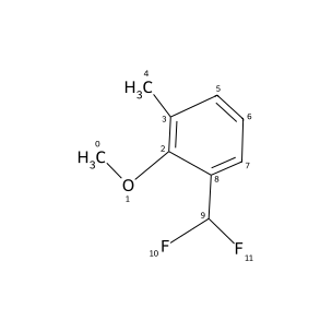 COc1c(C)cccc1C(F)F